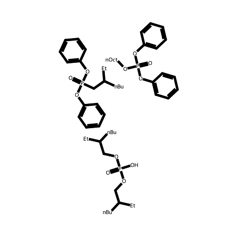 CCCCC(CC)COP(=O)(O)OCC(CC)CCCC.CCCCC(CC)CP(=O)(Oc1ccccc1)Oc1ccccc1.CCCCCCCCOP(=O)(Oc1ccccc1)Oc1ccccc1